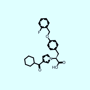 O=C(c1ccn([C@@H](Cc2ccc(OCc3ccccc3F)cc2)C(=O)O)c1)C1CCCCC1